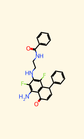 Nc1c(F)c(NCCNC(=O)c2ccccc2)c(F)c2c1C(=O)C=CC2c1ccccc1